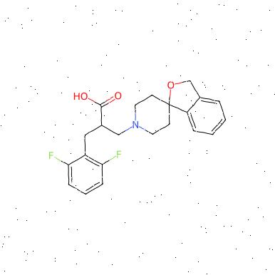 O=C(O)C(Cc1c(F)cccc1F)CN1CCC2(CC1)OCc1ccccc12